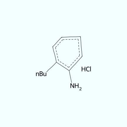 CCCCc1ccccc1N.Cl